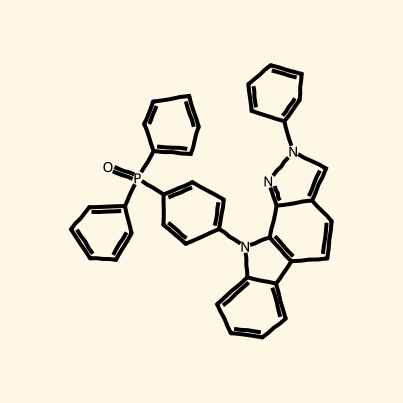 O=P(c1ccccc1)(c1ccccc1)c1ccc(-n2c3ccccc3c3ccc4cn(-c5ccccc5)nc4c32)cc1